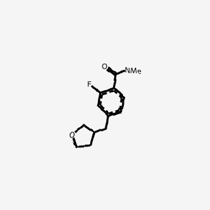 CNC(=O)c1ccc(CC2CCOC2)cc1F